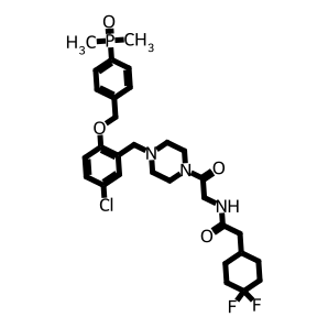 CP(C)(=O)c1ccc(COc2ccc(Cl)cc2CN2CCN(C(=O)CNC(=O)CC3CCC(F)(F)CC3)CC2)cc1